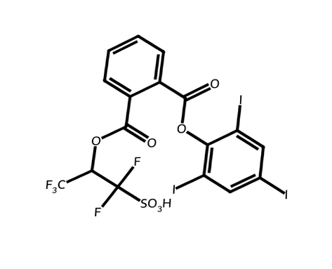 O=C(Oc1c(I)cc(I)cc1I)c1ccccc1C(=O)OC(C(F)(F)F)C(F)(F)S(=O)(=O)O